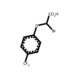 O=C(O)C(Br)Oc1ccc(C(F)(F)F)cc1